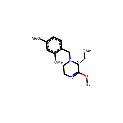 CCOC1=NCCN(Cc2ccc(OC)cc2OC)[C@@H]1COC